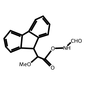 COC(C(=O)ONC=O)C1c2ccccc2-c2ccccc21